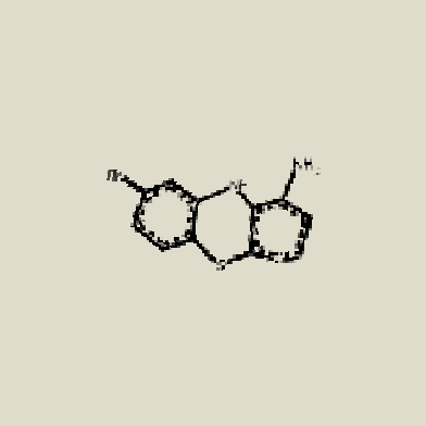 Nc1cccc2c1Nc1cc(Br)ccc1S2